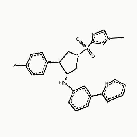 Cn1cnc(S(=O)(=O)N2C[C@H](Nc3cccc(-c4ccccn4)c3)[C@@H](c3ccc(F)cc3)C2)c1